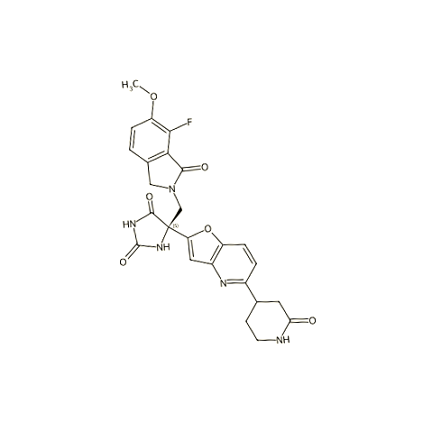 COc1ccc2c(c1F)C(=O)N(C[C@@]1(c3cc4nc(C5CCNC(=O)C5)ccc4o3)NC(=O)NC1=O)C2